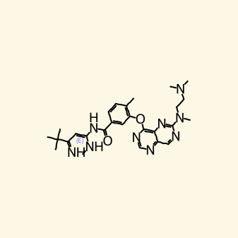 CN/C(=C\C(=N)C(C)(C)C)NC(=O)c1ccc(C)c(Oc2ncnc3cnc(N(C)CCN(C)C)nc23)c1